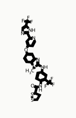 Cn1c(Nc2ccc(NC(=O)C3CCSS3)c(C(F)(F)F)c2)nc2cc(Oc3ccnc(-c4ncc(C(F)(F)F)[nH]4)c3)ccc21